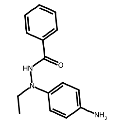 CCN(NC(=O)c1ccccc1)c1ccc(N)cc1